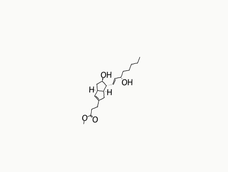 CCCCC[C@H](O)/C=C/[C@@H]1[C@H]2CC(CCC(=O)OC)=C[C@H]2C[C@H]1O